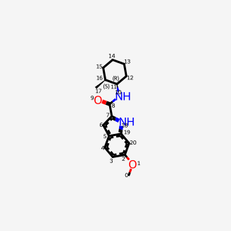 COc1ccc2cc(C(=O)N[C@@H]3CCCC[C@@H]3C)[nH]c2c1